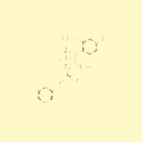 Cc1cc(F)ccc1C1NCCN(C(=O)OCc2ccccc2)C1C